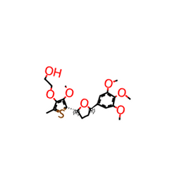 COc1cc([C@H]2CC[C@H](c3sc(C)c(OCCO)c3OC)O2)cc(OC)c1OC